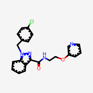 O=C(NCCOc1cccnc1)c1nn(Cc2ccc(Cl)cc2)c2ccccc12